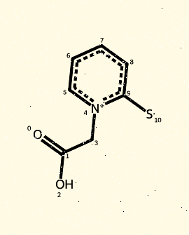 O=C(O)C[n+]1ccccc1[S]